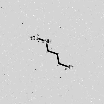 CC(C)CCCNC(C)(C)C